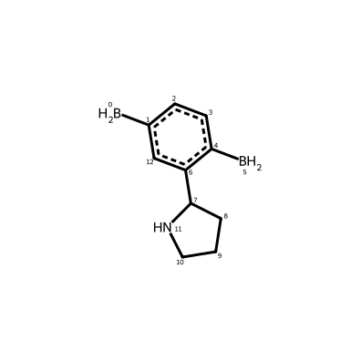 Bc1ccc(B)c(C2CCCN2)c1